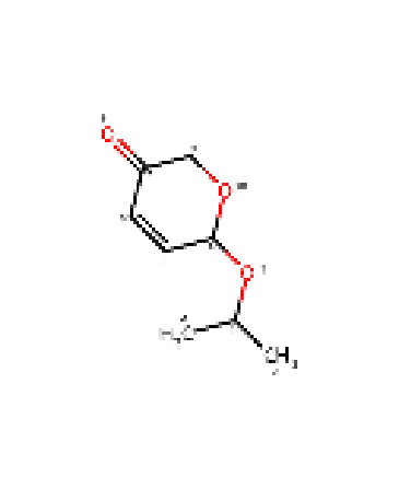 CC(C)OC1C=CC(=O)CO1